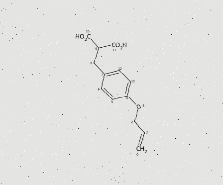 C=CCOc1ccc(CC(C(=O)O)C(=O)O)cc1